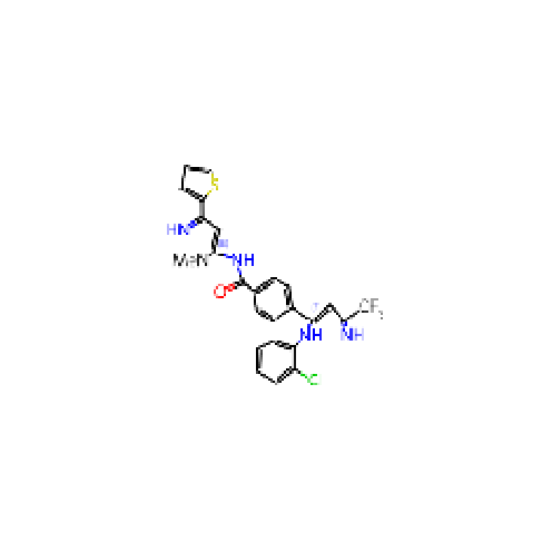 CN/C(=C\C(=N)c1cccs1)NC(=O)c1ccc(/C(=C/C(=N)C(F)(F)F)Nc2ccccc2Cl)cc1